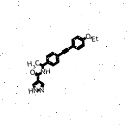 CCOc1ccc(C#Cc2ccc(C(C)NC(=O)c3cn[nH]c3)cc2)cc1